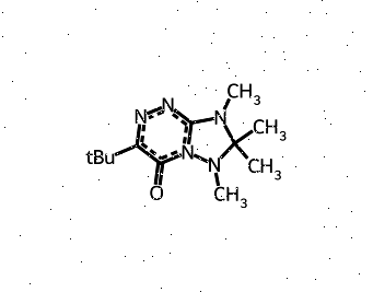 CN1c2nnc(C(C)(C)C)c(=O)n2N(C)C1(C)C